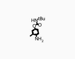 Cc1cc(OC(=O)NC(C)(C)C)ccc1N